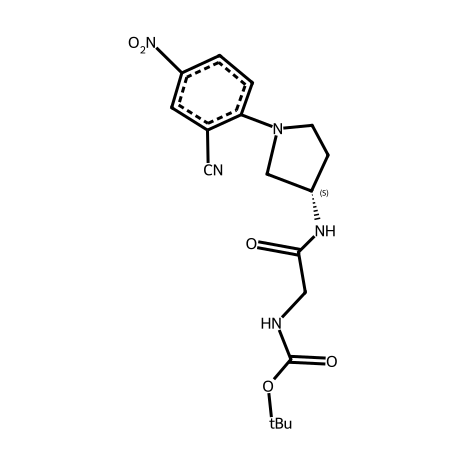 CC(C)(C)OC(=O)NCC(=O)N[C@H]1CCN(c2ccc([N+](=O)[O-])cc2C#N)C1